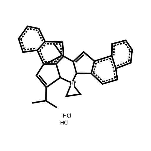 CC(C)C1=Cc2c(ccc3ccccc23)[CH]1[Hf]1([CH]2C(C(C)C)=Cc3c2ccc2ccccc32)[CH2][CH2]1.Cl.Cl